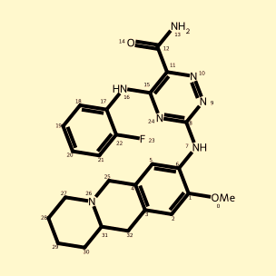 COc1cc2c(cc1Nc1nnc(C(N)=O)c(Nc3ccccc3F)n1)CN1CCCCC1C2